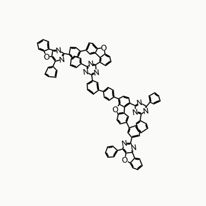 c1ccc(-c2nc(-c3cccc(-c4ccc(-c5ccc(-c6nc(-c7ccccc7)nc(-c7ccccc7)n6)c6c5oc5ccc(-c7cccc(-c8nc(-c9ccccc9)c9oc%10ccccc%10c9n8)c7)cc56)cc4)c3)nc(-c3cccc4oc5ccc(-c6ccc(-c7nc(-c8ccccc8)c8oc9ccccc9c8n7)cc6)cc5c34)n2)cc1